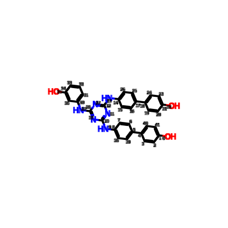 Oc1ccc(-c2ccc(Nc3nc(Nc4ccc(-c5ccc(O)cc5)cc4)nc(Nc4cccc(O)c4)n3)cc2)cc1